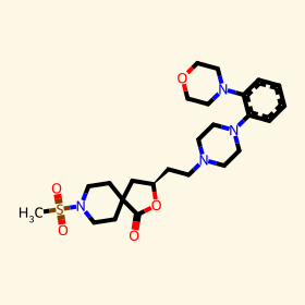 CS(=O)(=O)N1CCC2(CC1)C[C@@H](CCN1CCN(c3ccccc3N3CCOCC3)CC1)OC2=O